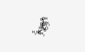 NC(N)=NCCC[C@H](NCC(=O)NC(=O)[C@@H](N)CCC(=O)O)C(=O)CCl